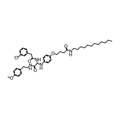 CCCCCCCCCCCCNC(=O)CCCOc1ccc(NC(NC(=O)Cc2cccc(Cl)c2)C(=O)NCCc2ccc(OC)cc2)cc1